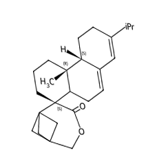 CC(C)C1=CC2=CCC3[C@](C)(CCC[C@]34C(=O)OCC35CC4(C3)C5)[C@@H]2CC1